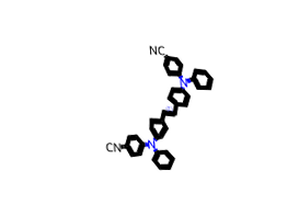 [C-]#[N+]c1ccc(N(c2ccccc2)c2ccc(/C=C/c3ccc(N(c4ccccc4)c4ccc(C#N)cc4)cc3)cc2)cc1